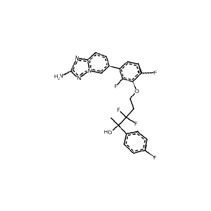 CC(O)(c1ccc(F)cc1)C(F)(F)CCOc1c(F)ccc(-c2ccc3nc(N)nn3c2)c1F